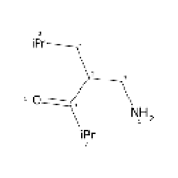 CC(C)CC(CN)C(=O)C(C)C